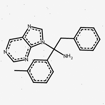 Cc1[c]c(C(N)(Cc2ccccc2)n2cnc3cncnc32)ccc1